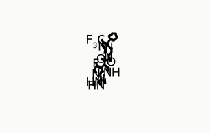 O=C(C(=O)N1CCn2c(nc(C(F)(F)F)c2-c2ccccc2)C1)c1c[nH]c2c(N3C=CNN3)ncc(F)c12